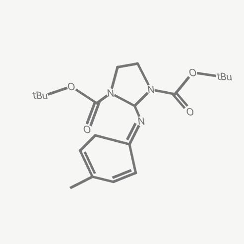 CC1=CC/C(=N\C2N(C(=O)OC(C)(C)C)CCN2C(=O)OC(C)(C)C)C=C1